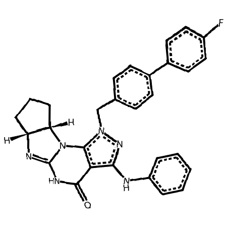 O=C1NC2=N[C@@H]3CCC[C@@H]3N2c2c1c(Nc1ccccc1)nn2Cc1ccc(-c2ccc(F)cc2)cc1